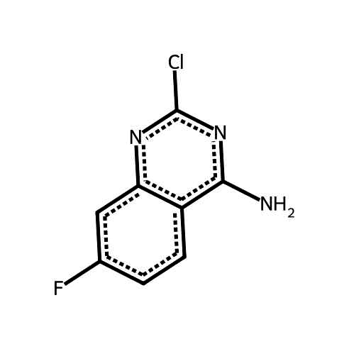 Nc1nc(Cl)nc2cc(F)ccc12